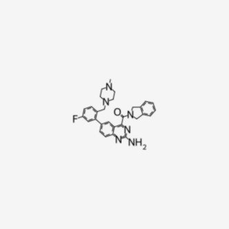 CN1CCN(Cc2ccc(F)cc2-c2ccc3nc(N)nc(C(=O)N4Cc5ccccc5C4)c3c2)CC1